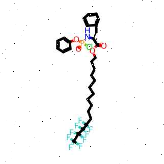 O=C(OCCCCCCCCCCCC(F)(F)C(F)(F)C(F)(F)C(F)(F)F)[C@H](Cc1ccccc1)NP(=O)(Cl)Oc1ccccc1